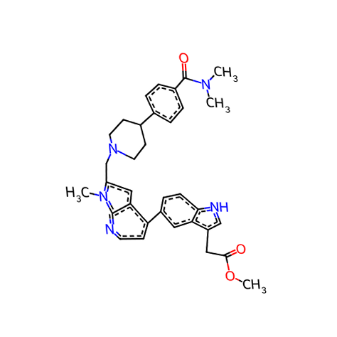 COC(=O)Cc1c[nH]c2ccc(-c3ccnc4c3cc(CN3CCC(c5ccc(C(=O)N(C)C)cc5)CC3)n4C)cc12